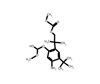 COC(=O)OCC(C)(C)c1cc(C(C)(C)C)c(N)cc1OC(O)OC